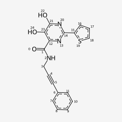 O=C(NCC#Cc1ccccc1)c1nc(-c2cccs2)nc(O)c1O